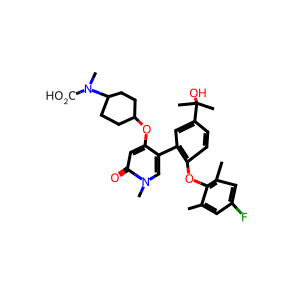 Cc1cc(F)cc(C)c1Oc1ccc(C(C)(C)O)cc1-c1cn(C)c(=O)cc1OC1CCC(N(C)C(=O)O)CC1